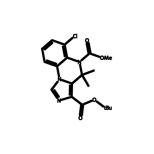 COC(=O)N1c2c(Cl)cccc2-n2cnc(C(=O)OC(C)(C)C)c2C1(C)C